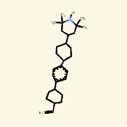 C=CC1CCC(c2ccc(C3CCC(C4CC(C)(C)N(CCC)C(C)(C)C4)CC3)cc2)CC1